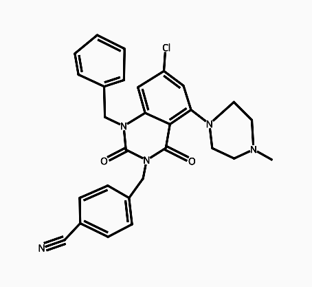 CN1CCN(c2cc(Cl)cc3c2c(=O)n(Cc2ccc(C#N)cc2)c(=O)n3Cc2ccccc2)CC1